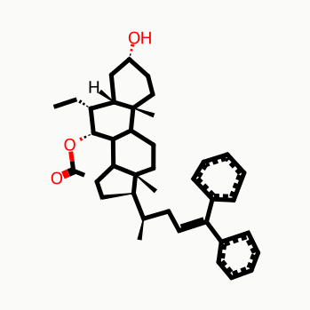 CC[C@H]1[C@@H](OC(C)=O)C2C3CC[C@H]([C@H](C)CC=C(c4ccccc4)c4ccccc4)[C@@]3(C)CCC2[C@@]2(C)CC[C@@H](O)C[C@@H]12